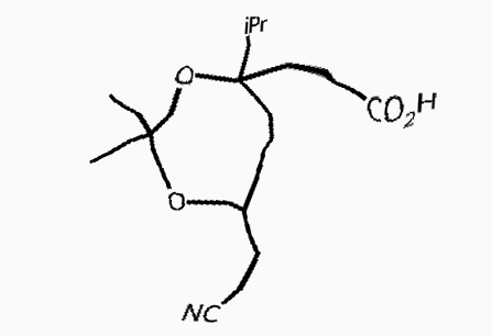 CC(C)C1(CC(=O)O)CC(CC#N)OC(C)(C)O1